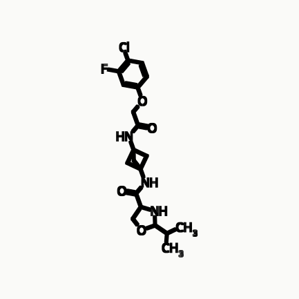 CC(C)C1NC(C(=O)NC23CC(NC(=O)COc4ccc(Cl)c(F)c4)(C2)C3)CO1